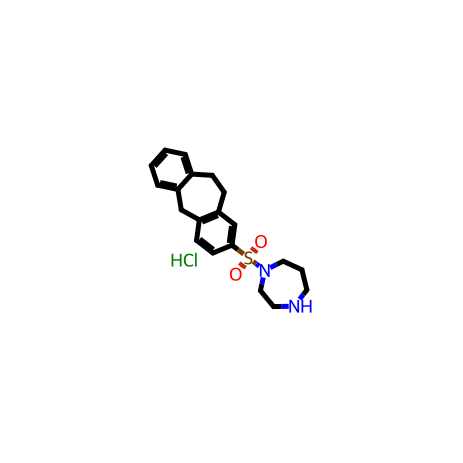 Cl.O=S(=O)(c1ccc2c(c1)CCc1ccccc1C2)N1CCCNCC1